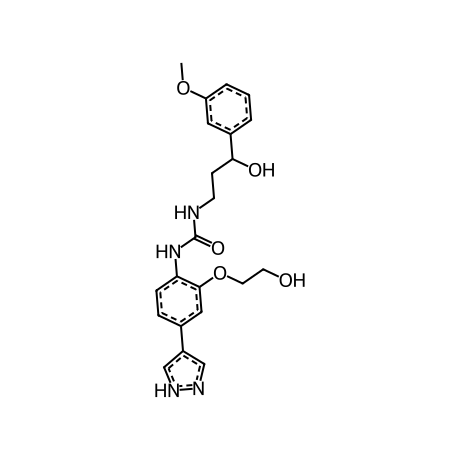 COc1cccc(C(O)CCNC(=O)Nc2ccc(-c3cn[nH]c3)cc2OCCO)c1